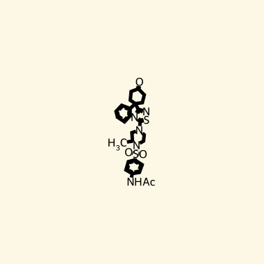 CC(=O)Nc1ccc(S(=O)(=O)N2CCN(c3nc(C4(c5ccccc5)CCC(=O)CC4)ns3)CC2C)cc1